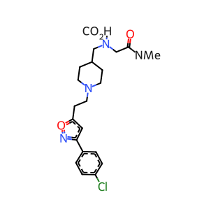 CNC(=O)CN(CC1CCN(CCc2cc(-c3ccc(Cl)cc3)no2)CC1)C(=O)O